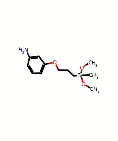 C[O][Ti]([CH3])([CH2]CCOc1cccc(N)c1)[O]C